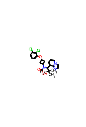 CC(C)(C)C(c1cccn2ccnc12)N(C(=O)O)[C@H]1C[C@H](Oc2cccc(Cl)c2Cl)C1